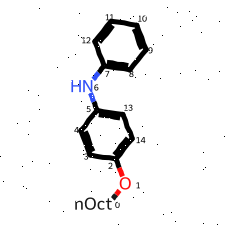 CCCCCCCCOc1ccc(Nc2ccccc2)cc1